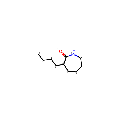 CCCCC1CCCCNC1=O